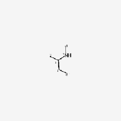 [CH2]CC(C)NC